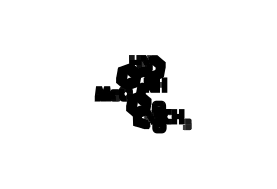 COc1cc2c(cc1CNC1CCCNC1c1ccccc1)N(S(C)(=O)=O)CC2